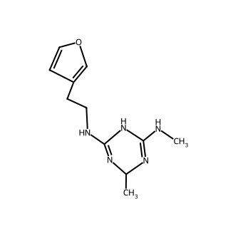 CNC1=NC(C)N=C(NCCc2ccoc2)N1